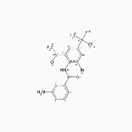 Nc1cccc(C(=O)Nc2c(Br)cc(C(F)(C(F)(F)F)C(F)(F)F)cc2[S+]([O-])C(F)(F)F)c1